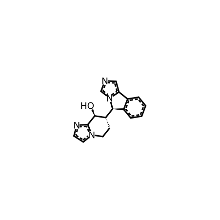 O[C@@H]1c2nccn2CC[C@H]1[C@@H]1c2ccccc2-c2cncn21